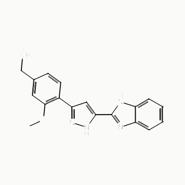 COc1cc(CO)ccc1-c1cc(-c2nc3ccccc3[nH]2)[nH]n1